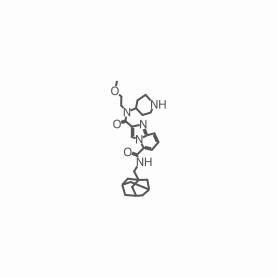 COCCN(C(=O)c1cn2c(C(=O)NCC34CC5CC(CC(C5)C3)C4)cccc2n1)C1CCNCC1